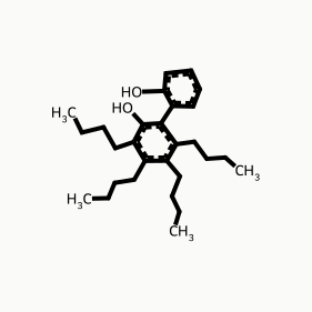 CCCCc1c(O)c(-c2ccccc2O)c(CCCC)c(CCCC)c1CCCC